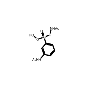 CC(=O)NO[As](=O)(OO)c1cccc(NC(C)=O)c1